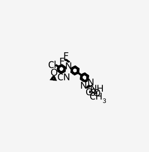 CS(=O)(=O)Nc1cnc2cc(-c3ccc(N(CC(F)F)c4cc(Cl)c(OC5CC5)c(C#N)c4)cc3)ccc2n1